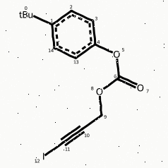 CC(C)(C)c1ccc(OC(=O)OCC#CI)cc1